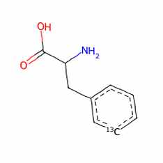 NC(Cc1ccc[13cH]c1)C(=O)O